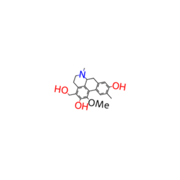 COc1c(O)c(CO)c2c3c1-c1cc(C)c(O)cc1CC3N(C)CC2